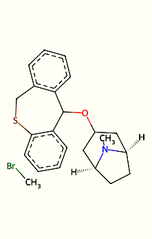 CBr.CN1[C@@H]2CC[C@H]1CC(OC1c3ccccc3CSc3ccccc31)C2